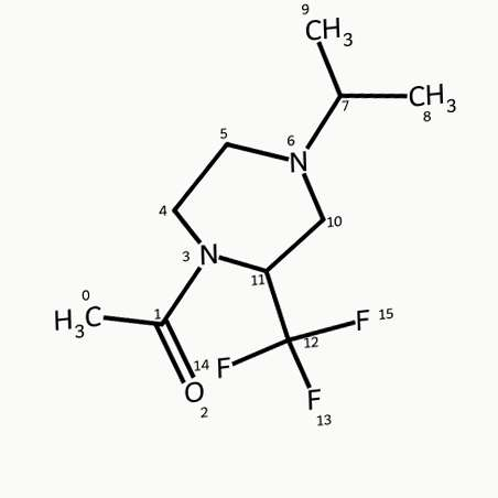 CC(=O)N1CCN(C(C)C)CC1C(F)(F)F